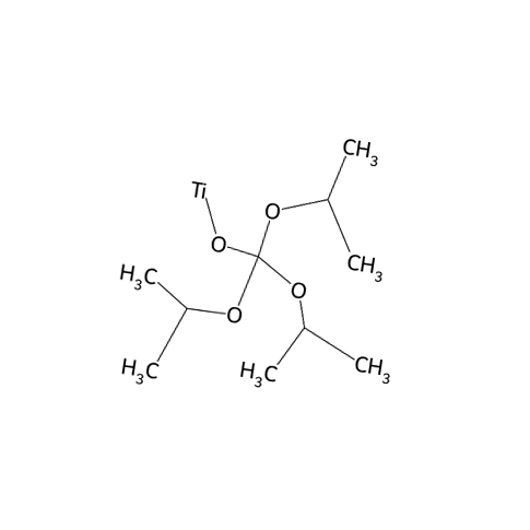 CC(C)OC([O][Ti])(OC(C)C)OC(C)C